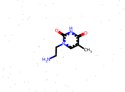 Cc1cn(CCN)c(=O)[nH]c1=O